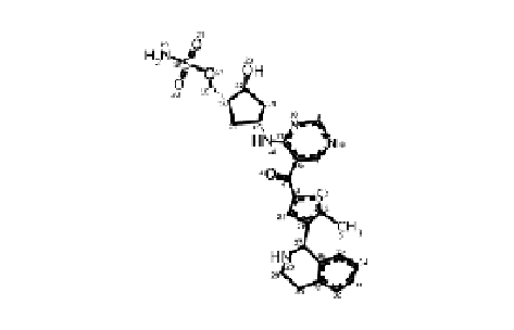 Cc1sc(C(=O)c2cncnc2N[C@@H]2C[C@H](COS(N)(=O)=O)[C@@H](O)C2)cc1C1NCCc2ccccc21